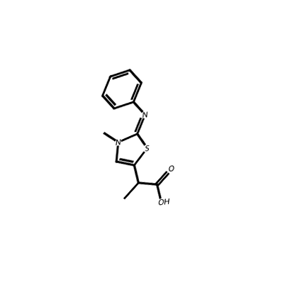 CC(C(=O)O)c1cn(C)/c(=N\c2ccccc2)s1